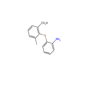 Cc1cccc(C(=O)O)c1Sc1ccccc1N